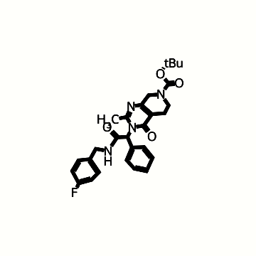 Cc1nc2c(c(=O)n1C(C(=O)NCc1ccc(F)cc1)c1ccccc1)CCN(C(=O)OC(C)(C)C)C2